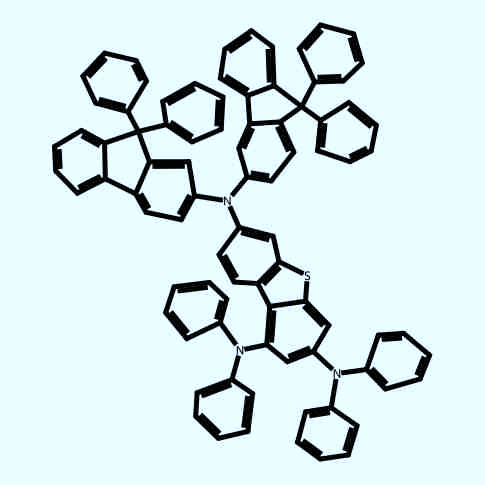 c1ccc(N(c2ccccc2)c2cc(N(c3ccccc3)c3ccccc3)c3c(c2)sc2cc(N(c4ccc5c(c4)-c4ccccc4C5(c4ccccc4)c4ccccc4)c4ccc5c(c4)C(c4ccccc4)(c4ccccc4)c4ccccc4-5)ccc23)cc1